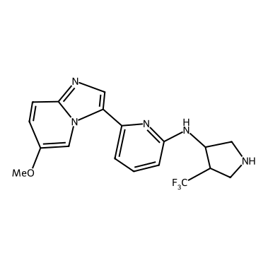 COc1ccc2ncc(-c3cccc(NC4CNCC4C(F)(F)F)n3)n2c1